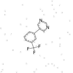 FC(F)(F)c1cccc(-c2[c]ncnc2)c1